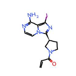 C=CC(=O)N1CC[C@H](c2nc(I)c3c(N)nccn23)C1